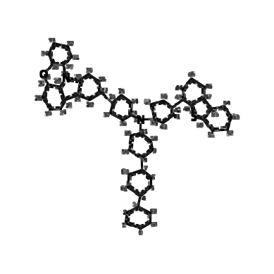 c1ccc(-c2ccc(-c3ccc(N(c4ccc(-c5ccc6c(c5)c5cccc7c5n6-c5ccccc5O7)cc4)c4ccc(-c5cccc6c5sc5ccccc56)cc4)cc3)cc2)cc1